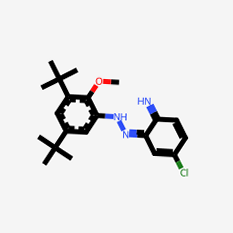 COc1c(N/N=C2/C=C(Cl)C=CC2=N)cc(C(C)(C)C)cc1C(C)(C)C